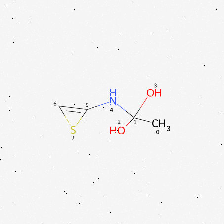 CC(O)(O)NC1=CS1